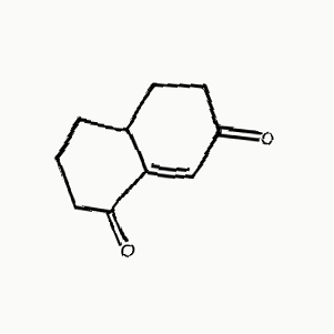 O=C1C=C2C(=O)CCCC2CC1